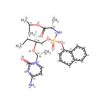 CC[C@@](F)(COP(=O)(N[C@@H](C)C(=O)OC(C)C)Oc1cccc2ccccc12)O[C@H](C)n1ccc(N)nc1=O